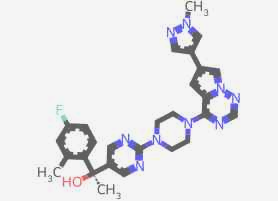 Cc1cc(F)ccc1[C@](C)(O)c1cnc(N2CCN(c3ncnn4cc(-c5cnn(C)c5)cc34)CC2)nc1